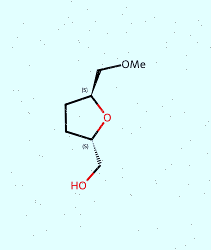 COC[C@@H]1CC[C@@H](CO)O1